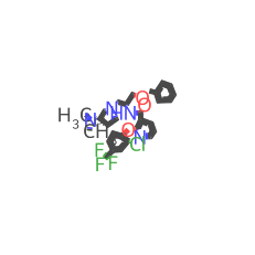 CN(C)[C@H]1CCN(CC(COCc2ccccc2)NC(=O)c2cccnc2Oc2ccc(C(F)(F)F)cc2Cl)C1